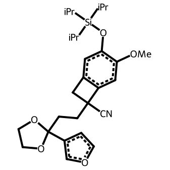 COc1cc2c(cc1O[Si](C(C)C)(C(C)C)C(C)C)CC2(C#N)CCC1(c2ccoc2)OCCO1